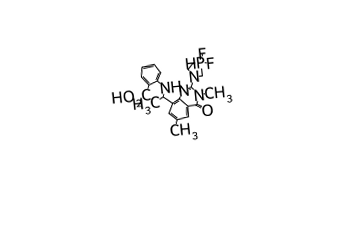 Cc1cc(C(C)Nc2ccccc2C(=O)O)c2nc(N3CC[PH](F)(F)C3)n(C)c(=O)c2c1